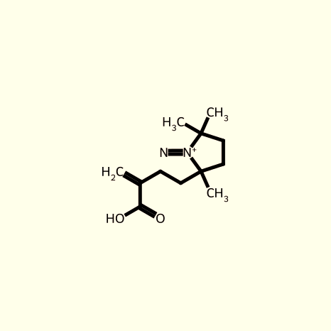 C=C(CCC1(C)CCC(C)(C)[N+]1=[N-])C(=O)O